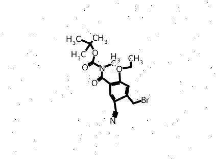 CCOc1cc(CBr)c(C#N)cc1C(=O)N(C)C(=O)OC(C)(C)C